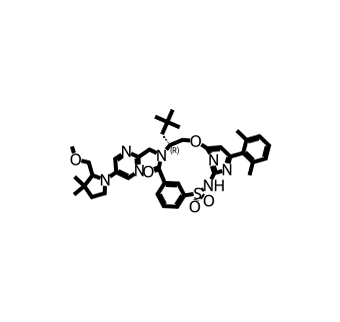 COCC1N(c2cnc(CN3C(=O)c4cccc(c4)S(=O)(=O)Nc4nc(cc(-c5c(C)cccc5C)n4)OC[C@H]3CC(C)(C)C)nc2)CCC1(C)C